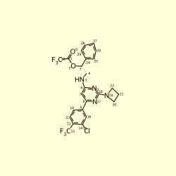 O=C(O[C@@H](CNc1cc(-c2ccc(C(F)(F)F)c(Cl)c2)nc(N2CCC2)n1)c1ccccc1)C(F)(F)F